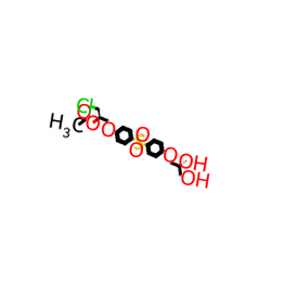 CC(=O)O[C@@H](CCl)COc1ccc(S(=O)(=O)c2ccc(OC[C@H](O)CO)cc2)cc1